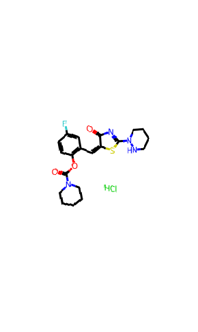 Cl.O=C1N=C(N2CCCCN2)S/C1=C/c1cc(F)ccc1OC(=O)N1CCCCC1